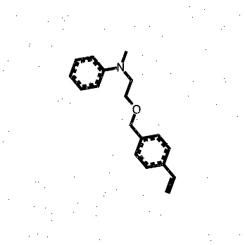 C=Cc1ccc(COCCN(C)c2ccccc2)cc1